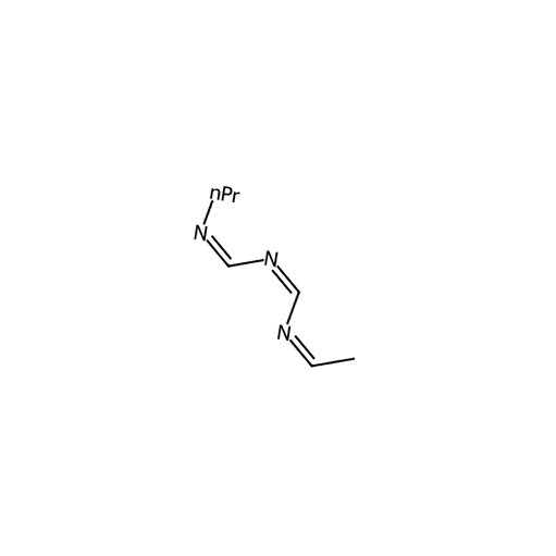 C\C=N/C=N\C=N/CCC